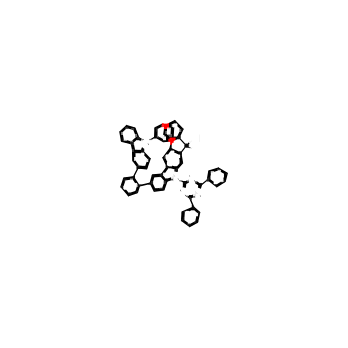 CC1(C)c2ccccc2-c2cc3c4cc(-c5ccccc5-c5ccc6c(c5)c5ccccc5n6-c5ccccc5)ccc4n(-c4nc(-c5ccccc5)nc(-c5ccccc5)n4)c3cc21